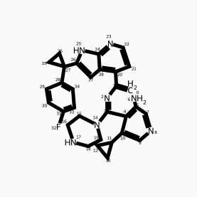 C=C(/N=C(\c1c(N)cncc1C1CC1)N1CCNCC1)c1ccnc2[nH]c(C3(c4ccc(F)cc4)CC3)cc12